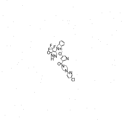 O=C(c1cncc(OC[C@H]2c3ccccc3CN2c2cn[nH]c(=O)c2C(F)(F)F)c1)N1CCN(c2ccc(Cl)cn2)CC1